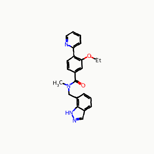 CCOc1cc(C(=O)N(C)Cc2cccc3cn[nH]c23)ccc1-c1ccccn1